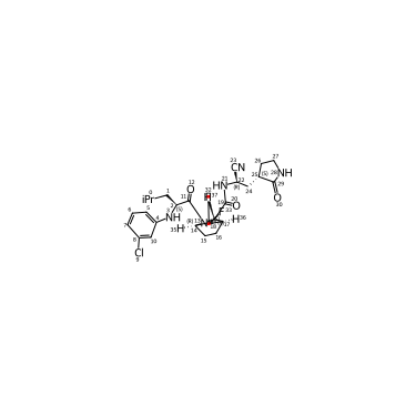 CC(C)C[C@H](Nc1cccc(Cl)c1)C(=O)N1[C@@H]2CC[C@H]([C@H]1C(=O)N[C@@H](C#N)C[C@@H]1CCNC1=O)C(F)(F)C2